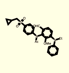 CCN(c1ccccc1)c1ccc(C=O)c(N(C(C)=O)c2ccc(S(=O)(=O)CC3CC3)cc2)c1OC